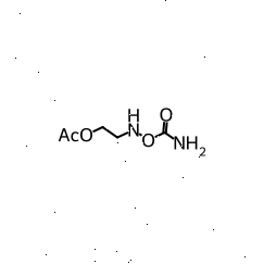 CC(=O)OCCNOC(N)=O